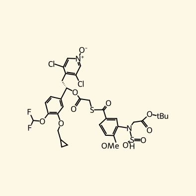 COc1ccc(C(=O)SCC(=O)O[C@@H](Cc2c(Cl)c[n+]([O-])cc2Cl)c2ccc(OC(F)F)c(OCC3CC3)c2)cc1N(CC(=O)OC(C)(C)C)[SH](=O)=O